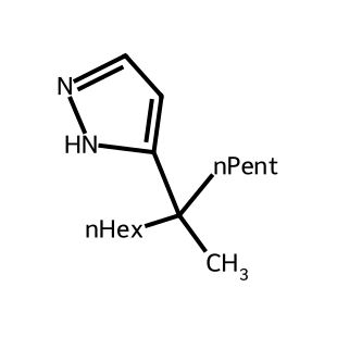 CCCCCCC(C)(CCCCC)c1ccn[nH]1